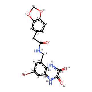 O=C(Cc1ccc2c(c1)OCO2)NCc1cc(Br)cc2[nH]c(=O)c(=O)[nH]c12